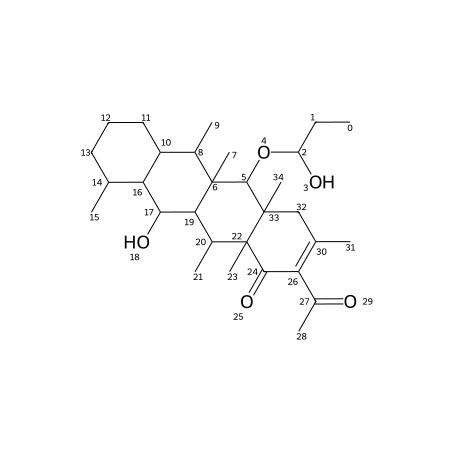 CCC(O)OC1C2(C)C(C)C3CCCC(C)C3C(O)C2C(C)C2(C)C(=O)C(C(C)=O)=C(C)CC12C